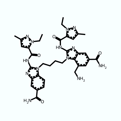 CCn1nc(C)cc1C(=O)Nc1nc2cc(C(N)=O)ccc2n1CCCCn1c(NC(=O)c2cc(C)nn2CC)nc2cc(C(N)=O)cc(CN)c21